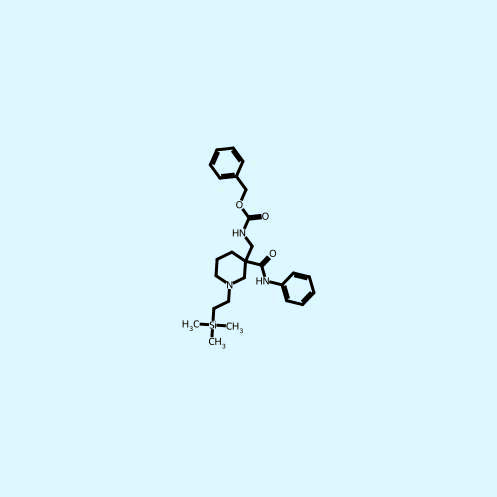 C[Si](C)(C)CCN1CCCC(CNC(=O)OCc2ccccc2)(C(=O)Nc2ccccc2)C1